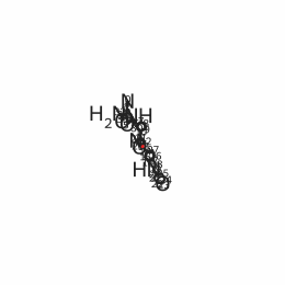 N#CC(NC(=O)c1cccc(-c2cc(-c3ccc(CNC4CCOCC4)cc3)on2)c1)C(N)=O